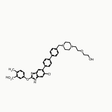 Cc1ccc(Oc2nc3cc(-c4ccc(-c5ccc(CN6CCN(CCOCCO)CC6)cc5)cc4)c(Cl)cc3[nH]2)cc1C(=O)O